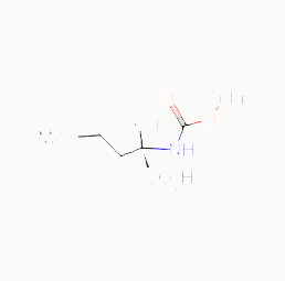 CCCOC(=O)N[C@@](C)(CCSC)C(=O)O